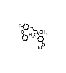 CCOc1ccc(C(C)(C)/C=C/Cc2ccc(F)c(Oc3ccccc3)c2)cc1